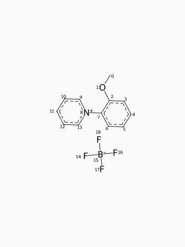 COc1ccccc1-[n+]1ccccc1.F[B-](F)(F)F